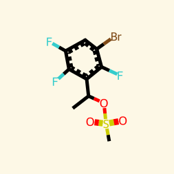 CC(OS(C)(=O)=O)c1c(F)c(F)cc(Br)c1F